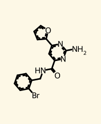 Nc1nc(C(=O)NCc2ccccc2Br)cc(-c2ccco2)n1